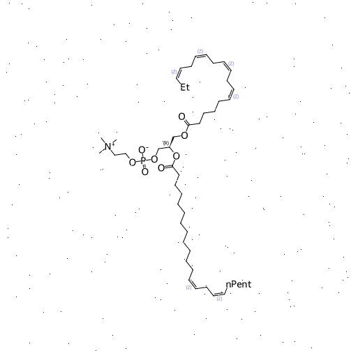 CC/C=C\C/C=C\C/C=C\C/C=C\CCCCC(=O)OC[C@H](COP(=O)([O-])OCC[N+](C)(C)C)OC(=O)CCCCCCCCCCC/C=C\C/C=C\CCCCC